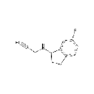 C#CCNC1CCc2ccc(F)cc21